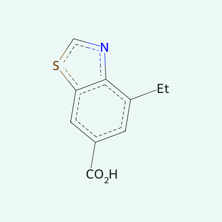 CCc1cc(C(=O)O)cc2scnc12